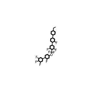 CCc1ccc(-c2ccc(-c3cc(F)c(C(F)(F)Oc4ccc(-c5cc(F)c(F)c(F)c5)c(F)c4)c(F)c3)c(F)c2)cc1